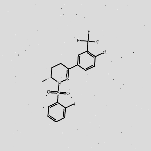 C[C@@H]1CCC(c2ccc(Cl)c(C(F)(F)F)c2)=NN1S(=O)(=O)c1ccccc1I